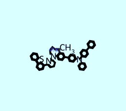 C/C1=C\C=C/CN(C2=NC(c3cccc4c3sc3ccccc34)=CCC2)c2ccc(-c3ccc(N(c4ccccc4)c4ccc(-c5ccccc5)cc4)cc3)cc21